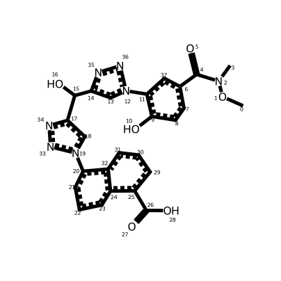 CON(C)C(=O)c1ccc(O)c(-n2cc(C(O)c3cn(-c4cccc5c(C(=O)O)cccc45)nn3)nn2)c1